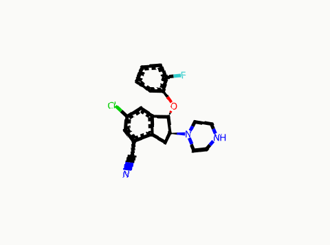 N#Cc1cc(Cl)cc2c1C[C@H](N1CCNCC1)[C@H]2Oc1ccccc1F